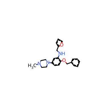 CN1CCN(c2ccc(OCc3ccccc3)c(NCc3ccco3)c2)CC1